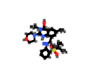 Cc1cc([C@H](C)Nc2ccccc2S(=O)(=O)C(C)C)c2nc(N3CCOCC3)n(C)c(=O)c2c1